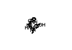 CCc1nc(Nc2ncc(C(=O)Nc3c(C)cccc3C)o2)nc(N2CCC(CO)CC2)n1